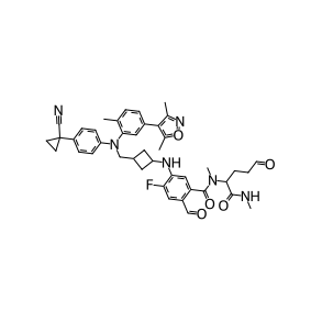 CNC(=O)C(CCC=O)N(C)C(=O)c1cc(NC2CC(CN(c3ccc(C4(C#N)CC4)cc3)c3cc(-c4c(C)noc4C)ccc3C)C2)c(F)cc1C=O